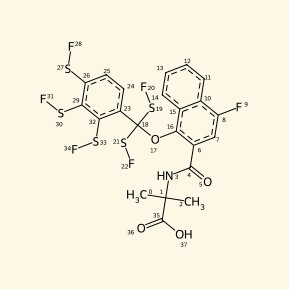 CC(C)(NC(=O)c1cc(F)c2ccccc2c1OC(SF)(SF)c1ccc(SF)c(SF)c1SF)C(=O)O